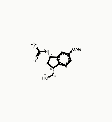 COc1ccc2c(c1)[C@@H](NC(=O)C(F)(F)F)C[C@H]2CO